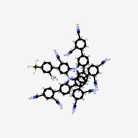 Cc1cc(C(F)(F)F)ccc1-c1cc(-n2c3cc(-c4ccc(C#N)cc4C#N)ccc3c3ccc(-c4ccc(C#N)cc4C#N)cc32)c(-n2c3cc(-c4ccc(C#N)cc4C#N)ccc3c3ccc(-c4ccc(C#N)cc4C#N)cc32)cc1C#N